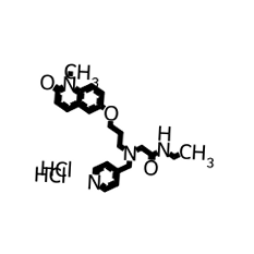 CCNC(=O)CN(CCCOc1ccc2c(ccc(=O)n2C)c1)Cc1ccncc1.Cl.Cl